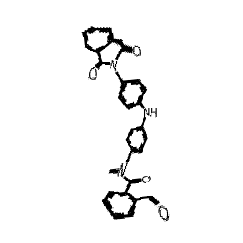 CN(C(=O)c1ccccc1C=O)c1ccc(Nc2ccc(N3C(=O)c4ccccc4C3=O)cc2)cc1